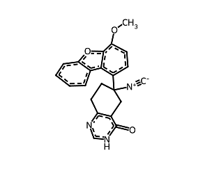 [C-]#[N+]C1(c2ccc(OC)c3oc4ccccc4c23)CCc2nc[nH]c(=O)c2C1